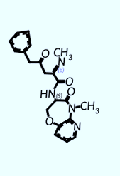 C/N=C(\CC(=O)Cc1ccccc1)C(=O)N[C@H]1COc2cccnc2N(C)C1=O